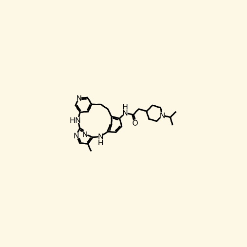 Cc1cnc2nc1Nc1ccc(NC(=O)CC3CCN(C(C)C)CC3)c(c1)CCc1cncc(c1)N2